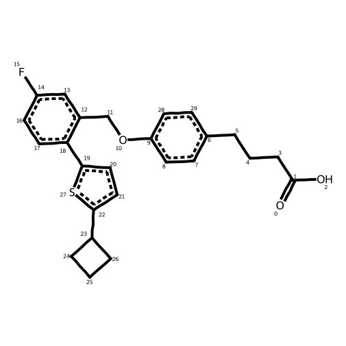 O=C(O)CCCc1ccc(OCc2cc(F)ccc2-c2ccc(C3CCC3)s2)cc1